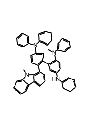 CN(c1ccccc1)c1ccc(NC2=CC=CCC2)cc1-c1cc(N(C2=CCCC=C2)c2ccccc2)ccc1-c1cccc2c3ccccc3n(C)c12